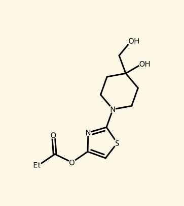 CCC(=O)Oc1csc(N2CCC(O)(CO)CC2)n1